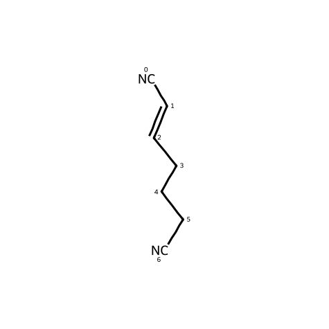 N#C/C=C/CCCC#N